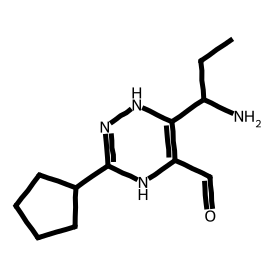 CCC(N)C1=C(C=O)NC(C2CCCC2)=NN1